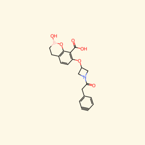 O=C(O)c1c(OC2CN(C(=O)Cc3cc#ccc3)C2)ccc2c1OB(O)CC2